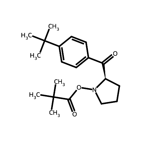 CC(C)(C)C(=O)ON1CCC[C@@H]1C(=O)c1ccc(C(C)(C)C)cc1